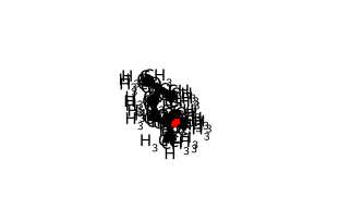 CN1C(C)(C)CC(OC(=O)CC(C(=O)OC2CC(C)(C)N(C)C(C)(C)C2)C(=O)OC2CC(C)(C)N(C)C(C)(CCC3(C)CC(OC(=O)c4cc(C(=O)OC5CC(C)(C)NC(C)(C)C5)c(C(=O)OC5CC(C)(C)NC(C)(C)C5)cc4C(=O)OC4CC(C)(C)NC(C)(C)C4)CC(C)(C)N3)C2)CC1(C)C